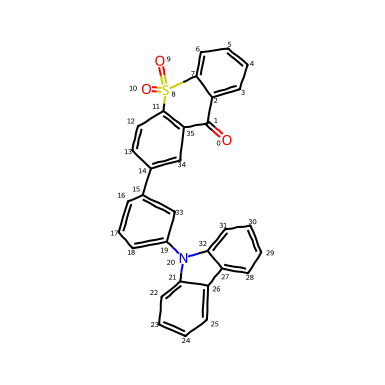 O=C1c2ccccc2S(=O)(=O)c2ccc(-c3cccc(-n4c5ccccc5c5ccccc54)c3)cc21